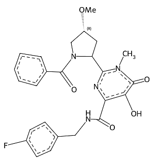 CO[C@@H]1CC(c2nc(C(=O)NCc3ccc(F)cc3)c(O)c(=O)n2C)N(C(=O)c2ccccc2)C1